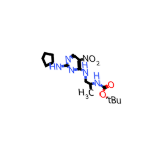 CC(CNc1nc(NC2CCCC2)ncc1[N+](=O)[O-])NC(=O)OC(C)(C)C